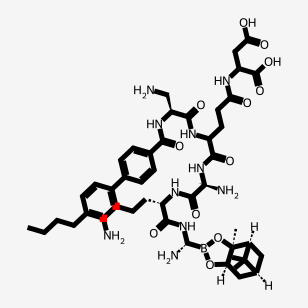 CCCCc1ccc(-c2ccc(C(=O)N[C@@H](CN)C(=O)NC(CCC(=O)NC(CC(=O)O)C(=O)O)C(=O)N[C@@H](N)C(=O)N[C@@H](CCCCN)C(=O)N[C@@H](N)B3O[C@@H]4C[C@@H]5C[C@@H](C5(C)C)[C@]4(C)O3)cc2)cc1